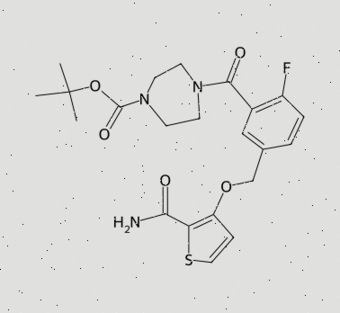 CC(C)(C)OC(=O)N1CCN(C(=O)c2cc(COc3ccsc3C(N)=O)ccc2F)CC1